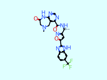 C[C@@H](NC(=O)c1ncnc2c1CN(C)CC(=O)N2)c1cc(-c2nc3ccc(C(F)(F)F)cc3[nH]2)on1